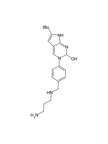 CC(C)(C)c1cc2c([nH]1)=NC(O)N(c1ccc(CNCCCN)cc1)C=2